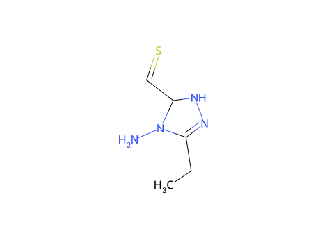 CCC1=NNC(C=S)N1N